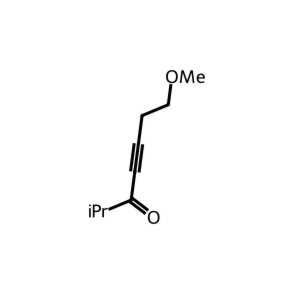 COCCC#CC(=O)C(C)C